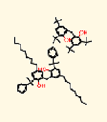 CC(C)(C)c1cc(Cc2cc(C(C)(C)C)cc(C(C)(C)C)c2O)c(O)c(C(C)(C)C)c1.CCCCCCCCCc1cc(Cc2cc(CCCCCCCCC)cc(C(C)(C)c3ccccc3)c2O)c(O)c(C(C)(C)c2ccccc2)c1